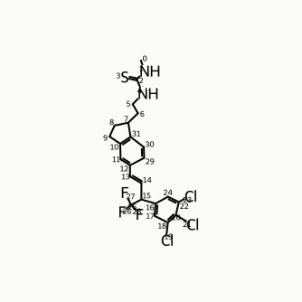 CNC(=S)NCCC1CCc2cc(/C=C/C(c3cc(Cl)c(Cl)c(Cl)c3)C(F)(F)F)ccc21